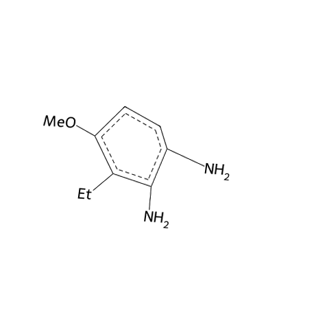 CCc1c(OC)ccc(N)c1N